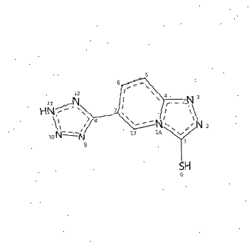 Sc1nnc2ccc(-c3nn[nH]n3)cn12